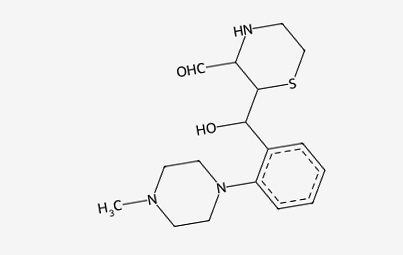 CN1CCN(c2ccccc2C(O)C2SCCNC2C=O)CC1